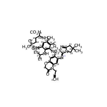 C#CCN1C(=O)COc2cc(F)c(/N=c3\snc4n3CC(C)(C)C4)cc21.CCC(CC)Nc1c([N+](=O)[O-])cc(C)c(C)c1[N+](=O)[O-].CP(=O)(O)CCC(N)C(=O)O